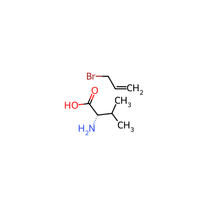 C=CCBr.CC(C)[C@H](N)C(=O)O